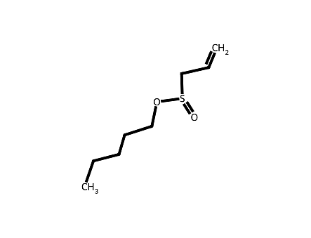 C=CCS(=O)OCCCCC